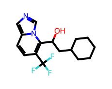 OC(CC1CCCCC1)c1c(C(F)(F)F)ccc2cncn12